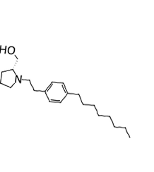 CCCCCCCCc1ccc(CCN2CCC[C@@H]2CO)cc1